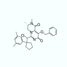 Cc1cc(C)cc(C2(C(Cl)c3nc(=O)c(OCc4ccccc4)c4n3C[C@H](C)N(C)C4=O)CCCC2)c1